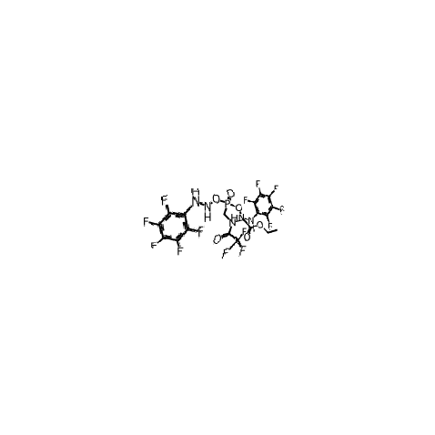 CCOC(=O)CN(CP(=O)(ONNc1c(F)c(F)c(F)c(F)c1F)ONNc1c(F)c(F)c(F)c(F)c1F)C(=O)C(F)(F)F